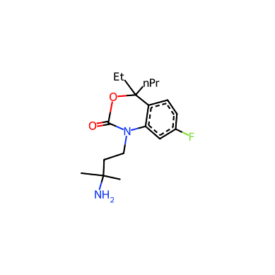 CCCC1(CC)OC(=O)N(CCC(C)(C)N)c2cc(F)ccc21